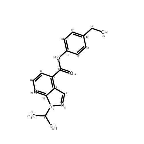 CC(C)n1ncc2c(C(=O)Oc3ccc(CO)cc3)ccnc21